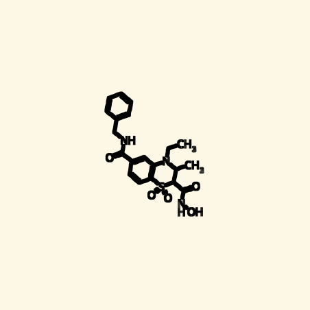 CCN1c2cc(C(=O)NCc3ccccc3)ccc2S(=O)(=O)C(C(=O)NO)C1C